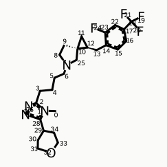 Cn1c(CCCCN2CC[C@@]3(C[C@H]3Cc3ccc(C(F)(F)F)cc3F)C2)nnc1C1CCOCC1